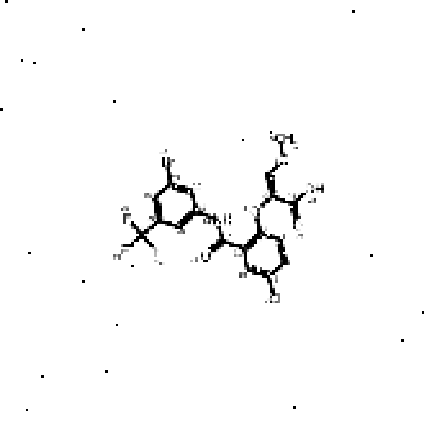 COC=C(Oc1ccc(Cl)cc1C(=O)Nc1cc(Br)cc(C(F)(F)F)c1)C(=O)O